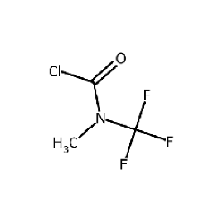 CN(C(=O)Cl)C(F)(F)F